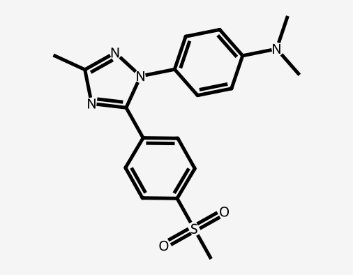 Cc1nc(-c2ccc(S(C)(=O)=O)cc2)n(-c2ccc(N(C)C)cc2)n1